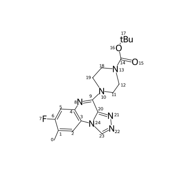 Cc1cc2c(cc1F)nc(N1CCN(C(=O)OC(C)(C)C)CC1)c1nncn12